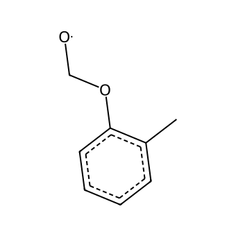 Cc1ccccc1OC[O]